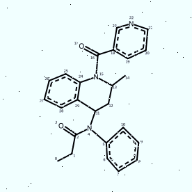 CCC(=O)N(c1ccccc1)C1CC(C)N(C(=O)c2cccnc2)c2ccccc21